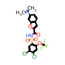 CN(C)c1ccc2cc(C(=O)NS(=O)(=O)c3cc(Cl)c(Cl)cc3OC(F)(F)F)oc2c1